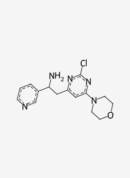 NC(Cc1cc(N2CCOCC2)nc(Cl)n1)c1cccnc1